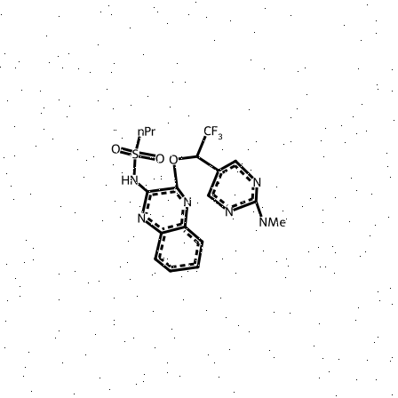 CCCS(=O)(=O)Nc1nc2ccccc2nc1OC(c1cnc(NC)nc1)C(F)(F)F